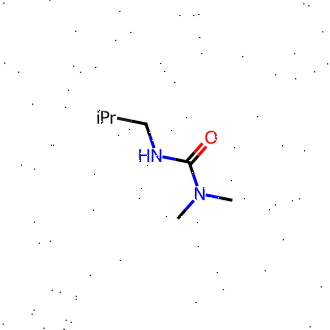 CC(C)CNC(=O)N(C)C